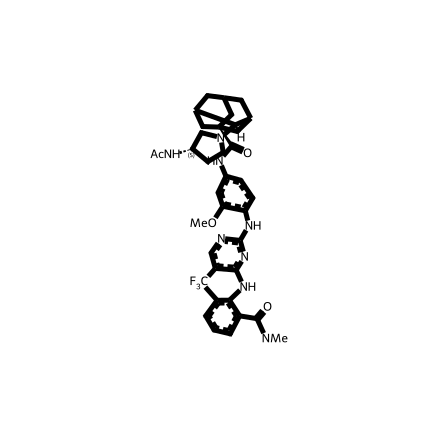 CNC(=O)c1cccc(C)c1Nc1nc(Nc2ccc(NC(=O)[C@]34CC5CC(C3)[C@@H](N3CC[C@H](NC(C)=O)C3)C(C5)C4)cc2OC)ncc1C(F)(F)F